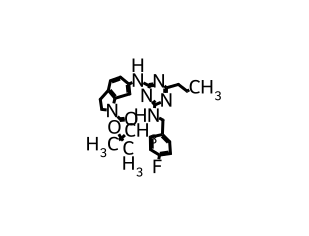 CCCc1nc(NCc2ccc(F)cc2)nc(Nc2ccc3c(c2)N(C(=O)OC(C)(C)C)CC3)n1